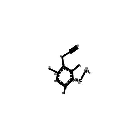 C#CCc1c(C)cc(C)cc1C.NC=O